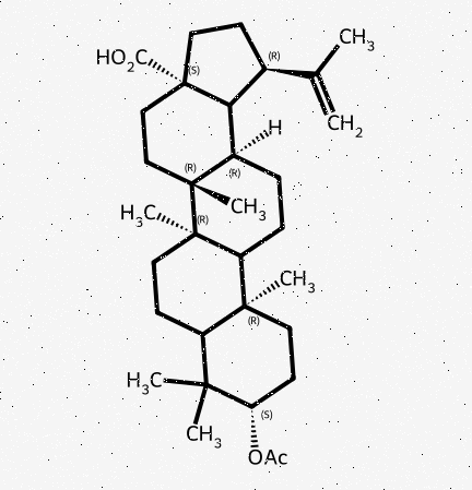 C=C(C)[C@@H]1CC[C@]2(C(=O)O)CC[C@]3(C)[C@H](CCC4[C@@]5(C)CC[C@H](OC(C)=O)C(C)(C)C5CC[C@]43C)C12